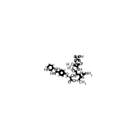 CCc1sc(N)nc1/C(=N/O[C@@H](COc1ccc(C(=N)N[C@H]2CCCNC2)cc1)C(=O)O)C(=O)N[C@@H]1C(=O)N(OS(=O)(=O)O)C1(C)C